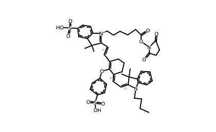 CCCCN1/C(=C/C=C2\CCCC(/C=C/C3=[N+](CCCCCC(=O)ON4C(=O)CCC4=O)c4ccc(S(=O)(=O)O)cc4C3(C)C)=C2Oc2ccc(S(=O)(=O)O)cc2)C(C)(C)c2ccccc21